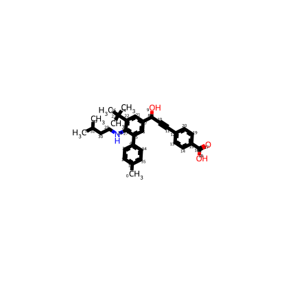 Cc1ccc(-c2cc(C(O)C#Cc3ccc(C(=O)O)cc3)cc(C(C)(C)C)c2NCCC(C)C)cc1